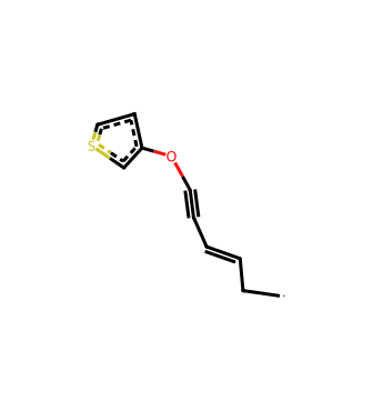 [CH2]CC=CC#COc1ccsc1